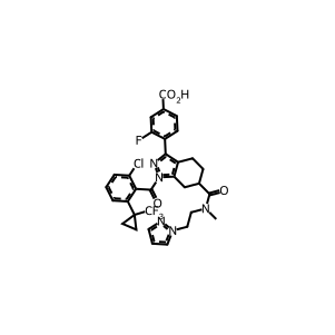 CN(CCn1cccn1)C(=O)C1CCc2c(-c3ccc(C(=O)O)cc3F)nn(C(=O)c3c(Cl)cccc3C3(C(F)(F)F)CC3)c2C1